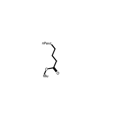 CCCCCCC[CH]C(=O)OC(C)(C)C